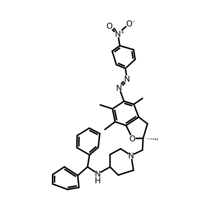 Cc1c(C)c2c(c(C)c1N=Nc1ccc([N+](=O)[O-])cc1)C[C@@](C)(CN1CCC(NC(c3ccccc3)c3ccccc3)CC1)O2